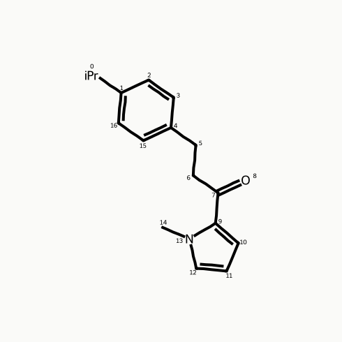 CC(C)c1ccc(CCC(=O)c2cccn2C)cc1